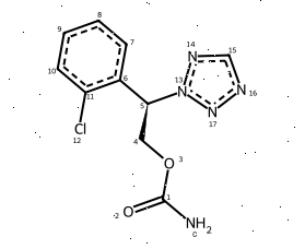 NC(=O)OC[C@@H](c1ccccc1Cl)n1ncnn1